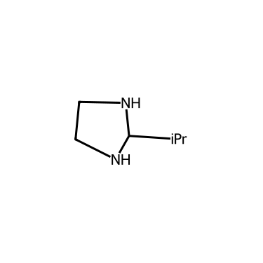 CC(C)C1NCCN1